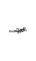 CCN(CC)c1ccc(/C(C)=C(\C#N)C(=O)NCCOC)cc1